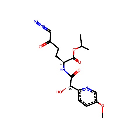 COc1ccc([C@H](O)C(=O)N[C@@H](CCC(=O)C=[N+]=[N-])C(=O)OC(C)C)nc1